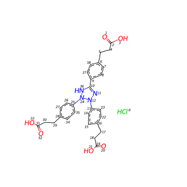 Cl.O=C(O)CCc1ccc(C2=NN(c3ccc(CCC(=O)O)cc3)N(c3ccc(CCC(=O)O)cc3)N2)cc1